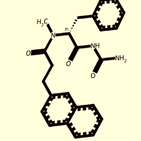 CN(C(=O)[CH]Cc1ccc2ccccc2c1)[C@H](Cc1ccccc1)C(=O)NC(N)=O